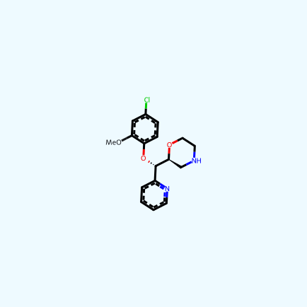 COc1cc(Cl)ccc1O[C@@H](c1ccccn1)[C@@H]1CNCCO1